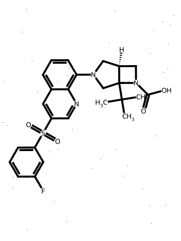 CC(C)(C)C12CN(c3cccc4cc(S(=O)(=O)c5cccc(F)c5)cnc34)C[C@H]1CN2C(=O)O